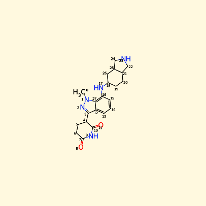 Cn1nc(C2CCC(=O)NC2=O)c2cccc(NC3CCC4CNCC4C3)c21